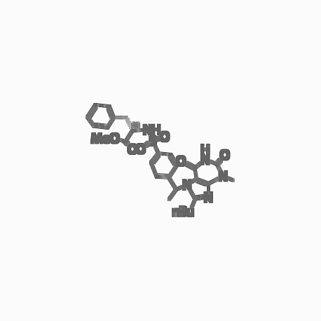 CCCCc1nc2c(c(=O)[nH]c(=O)n2C)n1C(C)c1ccc(S(=O)(=O)N[C@@H](Cc2ccccc2)C(=O)OC)cc1